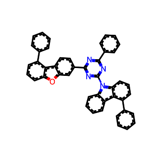 c1ccc(-c2nc(-c3ccc4c(c3)oc3cccc(-c5ccccc5)c34)nc(-n3c4ccccc4c4c(-c5ccccc5)cccc43)n2)cc1